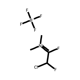 C[N+](C)=C(F)C(F)Cl.F[B-](F)(F)F